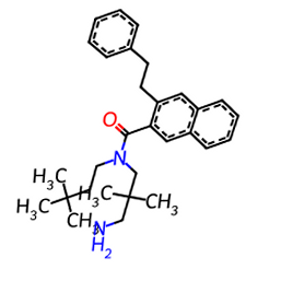 CC(C)(C)CCN(CC(C)(C)CN)C(=O)c1cc2ccccc2cc1CCc1ccccc1